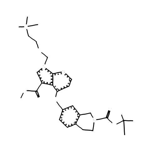 COC(=O)c1cn(COCCS(C)(C)C)c2nccc(Oc3ccc4c(c3)CN(C(=O)OC(C)(C)C)CC4)c12